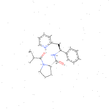 CC(C)C(C)C(=O)N1CCC[C@H]1C(=O)N[C@@H](Cc1ccccn1)c1ccccc1